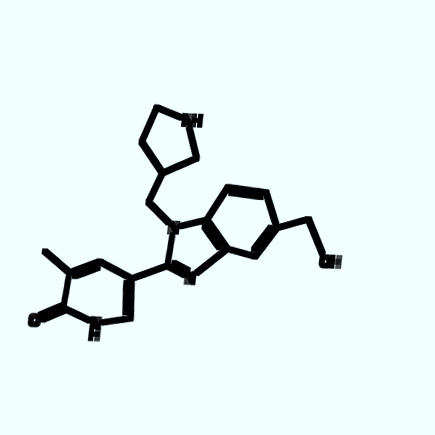 Cc1cc(-c2nc3cc(CO)ccc3n2CC2CCNC2)c[nH]c1=O